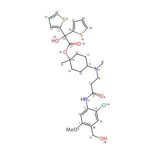 COc1cc(NC(=O)CCN(C)C2CCC(C)(OC(=O)C(O)(c3cccs3)c3cccs3)CC2)c(Cl)cc1CO